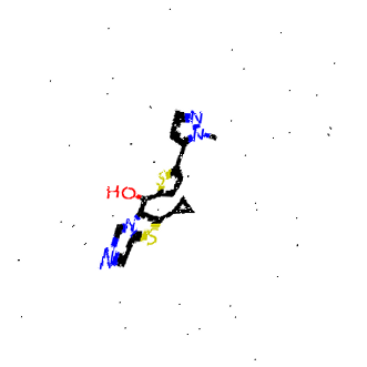 Cn1nccc1-c1ccc(C(O)c2c(C3CC3)sc3cncn23)s1